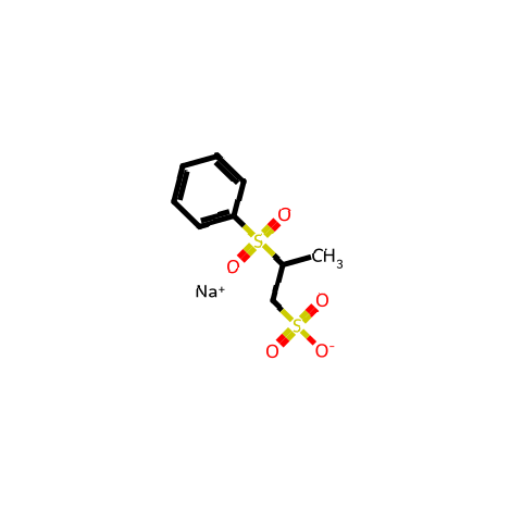 CC(CS(=O)(=O)[O-])S(=O)(=O)c1ccccc1.[Na+]